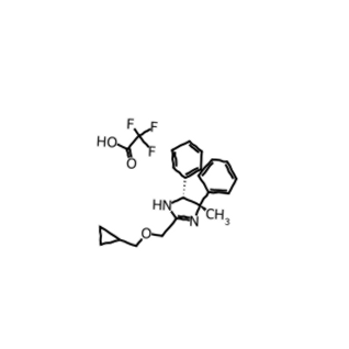 C[C@@]1(c2ccccc2)N=C(COCC2CC2)N[C@@H]1c1ccccc1.O=C(O)C(F)(F)F